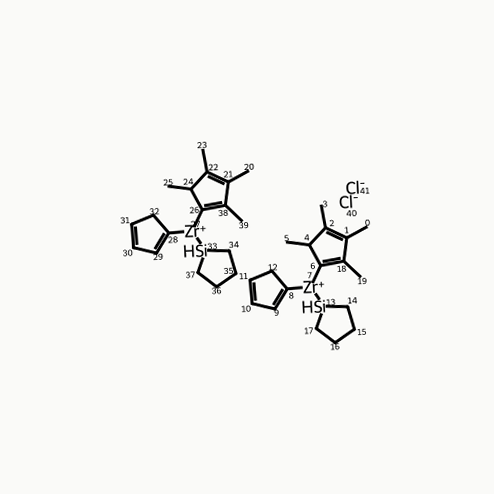 CC1=C(C)C(C)[C]([Zr+]([C]2=CC=CC2)[SiH]2CCCC2)=C1C.CC1=C(C)C(C)[C]([Zr+]([C]2=CC=CC2)[SiH]2CCCC2)=C1C.[Cl-].[Cl-]